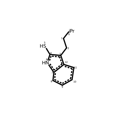 CC(C)CCc1c(S)[nH]c2ccccc12